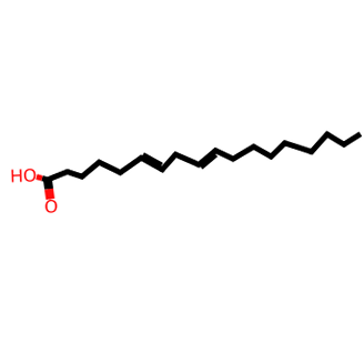 CCCCCCCCC=CCC=CCCCCC(=O)O